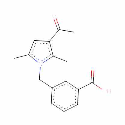 CC(=O)c1cc(C)n(Cc2cccc(C(=O)O)c2)c1C